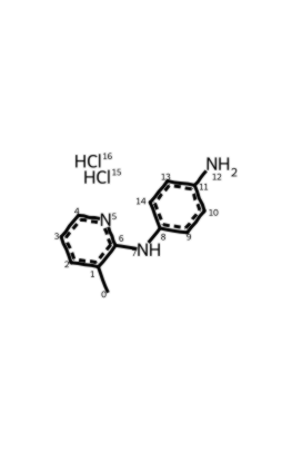 Cc1cccnc1Nc1ccc(N)cc1.Cl.Cl